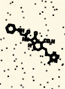 Cn1nnnc1SCC1=C(C(=O)O)N2C(=O)C(NC(=O)CNc3ccccc3)[C@@H]2SC1